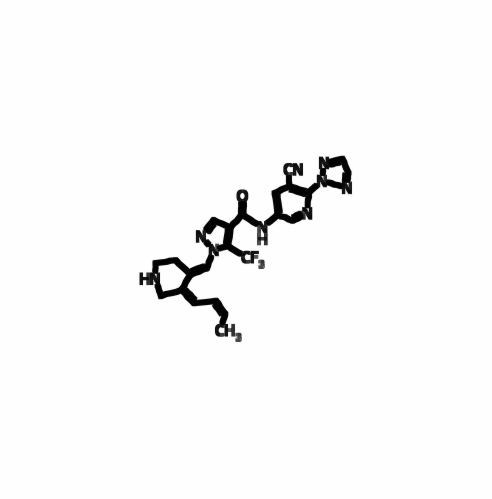 C\C=C/C=C1/CNCC/C1=C\n1ncc(C(=O)Nc2cnc(-n3nccn3)c(C#N)c2)c1C(F)(F)F